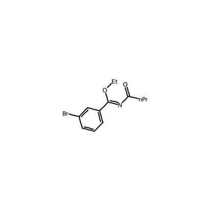 CCCC(=O)/N=C(\OCC)c1cccc(Br)c1